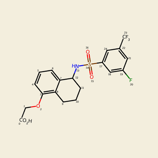 O=C(O)COc1cccc2c1CCCC2NS(=O)(=O)c1cc(F)cc(C(F)(F)F)c1